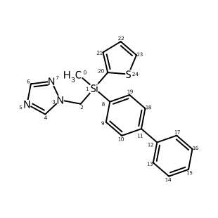 C[Si](Cn1cncn1)(c1ccc(-c2ccccc2)cc1)c1cccs1